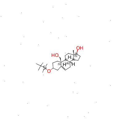 CC(C)(C)[Si](C)(C)OC1CC[C@@]2(CO)C(=CC[C@@H]3[C@@H]2CC[C@]2(C)[C@@H](O)CC[C@@H]32)C1